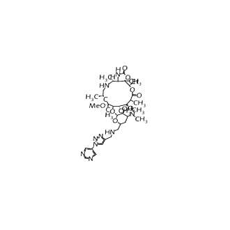 CC[C@H]1OC(=O)C(C)C(=O)[C@H](C)[C@@H](O[C@@H]2OC(CNCc3cn(-c4cncnc4)nn3)CC(N(C)C)C2O)[C@](C)(OC)C[C@@H](C)CN[C@H](C)[C@H]2NC(=O)O[C@@]21C